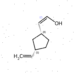 C=C[C@H]1CC[C@@H](/C=C\O)C1